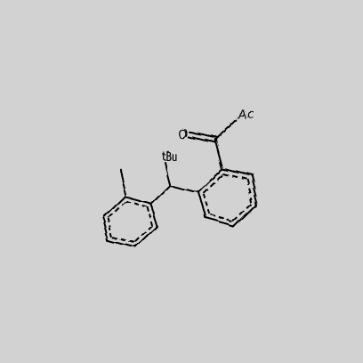 CC(=O)C(=O)c1ccccc1C(c1ccccc1C)C(C)(C)C